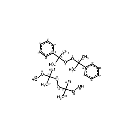 CC(C)(OOC(C)(C)c1ccccc1)c1ccccc1.CCC(C)(OO)OOC(C)(CC)OO